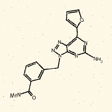 CNC(=O)c1cccc(Cn2nnc3c(-c4ccco4)nc(N)nc32)c1